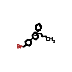 CCCC[Si@]1(c2ccccc2)CC[C@H](C2CCC(CBr)CC2)CC1